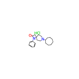 Cl.O=C1CC2(CCN(C3CCCCCCC3)CC2)N1c1ccccc1